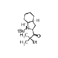 CCC(C)(C)C(=O)[C@@H]1C[C@@H]2CCCC[C@@H]2N1C(C)(C)C